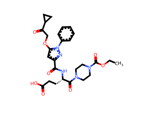 CCOC(=O)N1CCN(C(=O)[C@H](CCC(=O)O)NC(=O)c2cc(OCC(=O)C3CC3)n(-c3ccccc3)n2)CC1